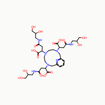 O=C(CC(C(=O)O)N1CCN(C(CC(=O)NCC(O)CO)C(=O)O)Cc2cccc(n2)CN(C(CC(=O)NCC(O)CO)C(=O)O)CC1)NCC(O)CO